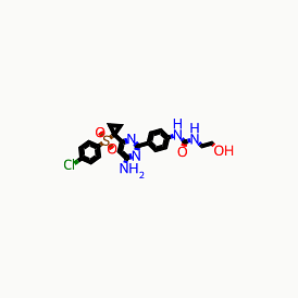 Nc1cc(C2(S(=O)(=O)c3ccc(Cl)cc3)CC2)nc(-c2ccc(NC(=O)NCCO)cc2)n1